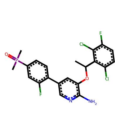 CC(Oc1cc(-c2ccc(P(C)(C)=O)cc2F)cnc1N)c1c(Cl)ccc(F)c1Cl